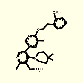 COc1ccccc1CCOc1ncc(-c2cnc(C)c(CC(=O)O)c2N2CCC(C)(C)CC2)cc1F